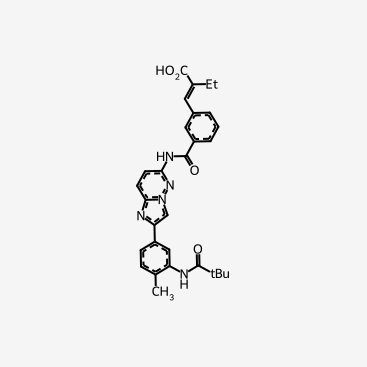 CC/C(=C\c1cccc(C(=O)Nc2ccc3nc(-c4ccc(C)c(NC(=O)C(C)(C)C)c4)cn3n2)c1)C(=O)O